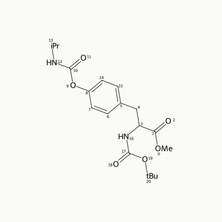 COC(=O)C(Cc1ccc(OC(=O)NC(C)C)cc1)NC(=O)OC(C)(C)C